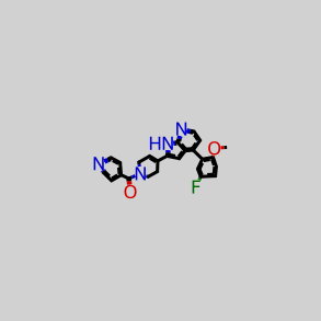 COc1ccc(F)cc1-c1ccnc2[nH]c(C3=CCN(C(=O)c4ccncc4)CC3)cc12